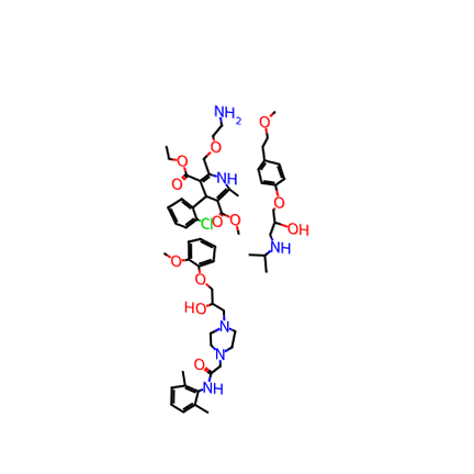 CCOC(=O)C1=C(COCCN)NC(C)=C(C(=O)OC)C1c1ccccc1Cl.COCCc1ccc(OCC(O)CNC(C)C)cc1.COc1ccccc1OCC(O)CN1CCN(CC(=O)Nc2c(C)cccc2C)CC1